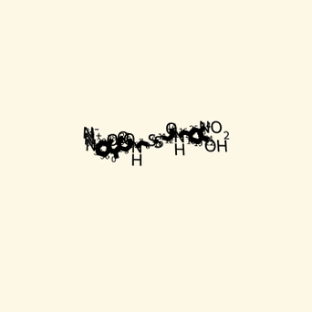 Cc1c(CC(=O)NCCSSCCC(=O)NCc2ccc(CO)c([N+](=O)[O-])c2)c(=O)oc2cc(N=[N+]=[N-])ccc12